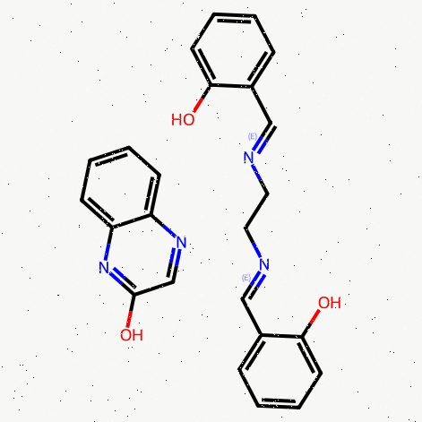 Oc1ccccc1/C=N/CC/N=C/c1ccccc1O.Oc1cnc2ccccc2n1